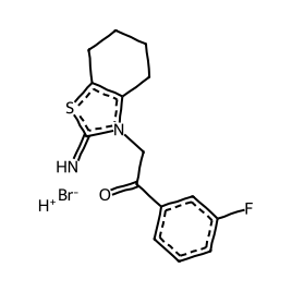 N=c1sc2c(n1CC(=O)c1cccc(F)c1)CCCC2.[Br-].[H+]